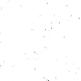 CNCC(=O)Nc1ccc(F)cc1